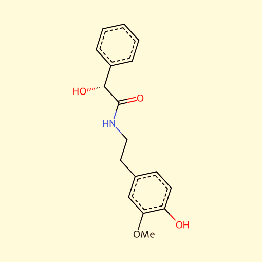 COc1cc(CCNC(=O)[C@H](O)c2ccccc2)ccc1O